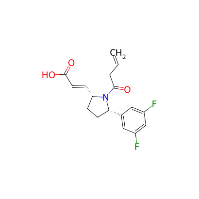 C=CCC(=O)N1[C@@H](C=CC(=O)O)CC[C@H]1c1cc(F)cc(F)c1